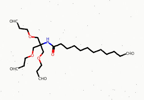 O=CCCCCCCCCCCC(=O)NC(COCCC=O)(COCCC=O)COCCC=O